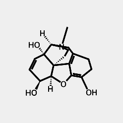 CN1CC[C@]23C4=C5CCC(O)=C4O[C@H]2[C@@H](O)C=C[C@@]3(O)[C@H]1C5